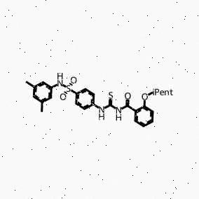 CCCC(C)Oc1ccccc1C(=O)NC(=S)Nc1ccc(S(=O)(=O)Nc2cc(C)cc(C)c2)cc1